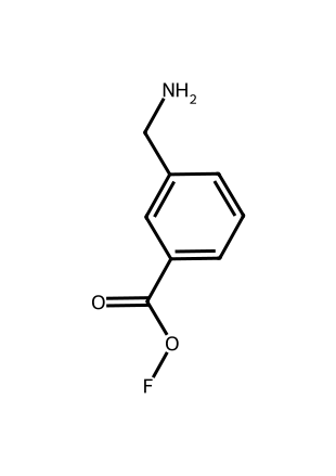 NCc1cccc(C(=O)OF)c1